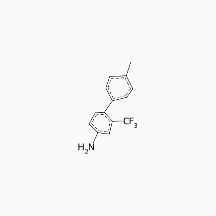 Cc1ccc(-c2ccc(N)cc2C(F)(F)F)cc1